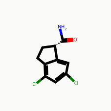 NC(=O)[C@H]1CCc2c(Cl)cc(Cl)cc21